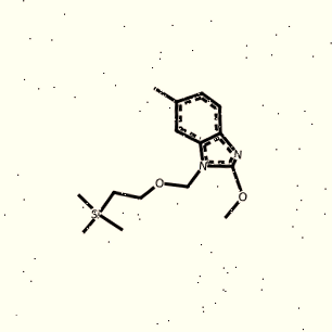 COc1nc2ccc(C)cc2n1COCC[Si](C)(C)C